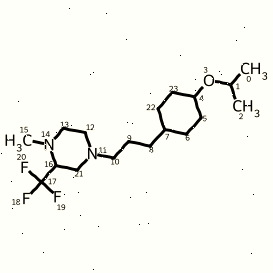 CC(C)OC1CCC(CCCN2CCN(C)C(C(F)(F)F)C2)CC1